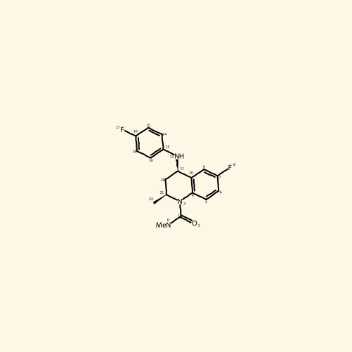 CNC(=O)N1c2ccc(F)cc2[C@H](Nc2ccc(F)cc2)C[C@@H]1C